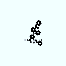 NC(=O)c1ccc(-n2c3ccccc3c3c(-c4cnc5ccccc5c4)cccc32)cc1NCCC1(O)CCCC1